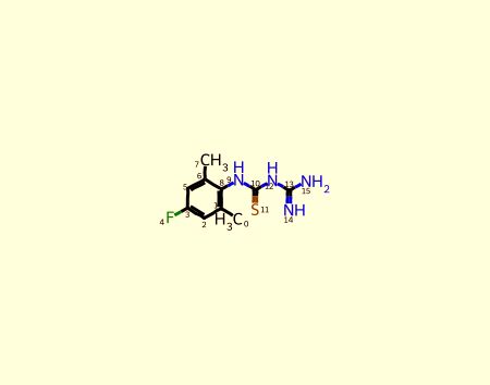 Cc1cc(F)cc(C)c1NC(=S)NC(=N)N